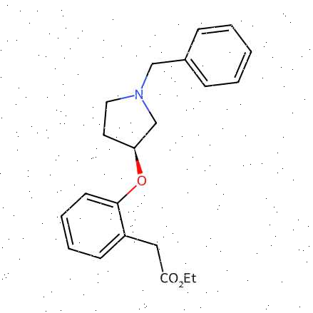 CCOC(=O)Cc1ccccc1O[C@H]1CCN(Cc2ccccc2)C1